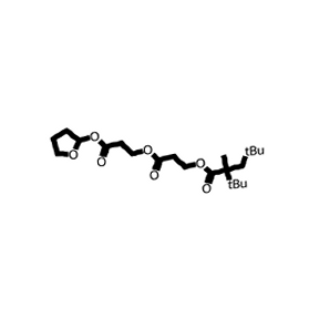 CC(C)(C)CC(C)(C(=O)OCCC(=O)OCCC(=O)OC1CCCO1)C(C)(C)C